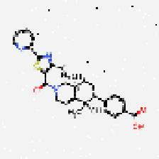 Cc1nc(-c2ccccn2)sc1C(=O)N1CC=C2C(C)(C)C(c3ccc(C(=O)O)cc3)=CC[C@]2(C)C1